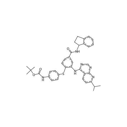 CC(C)c1ccc2c(Nc3cc(C(=O)NC4CCc5ccccc54)ccc3Sc3ccc(NC(=O)OC(C)(C)C)cc3)ncnc2n1